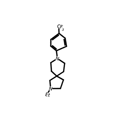 CCN1CCC2(CCN(c3ccc(C(F)(F)F)cc3)CC2)C1